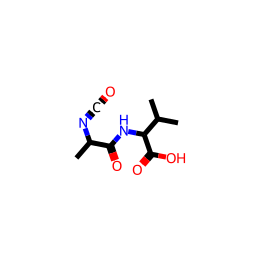 CC(N=C=O)C(=O)NC(C(=O)O)C(C)C